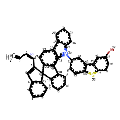 C=C/C=C\C1=Cc2ccccc2C12c1ccccc1-c1c2ccc2c3ccccc3n(-c3ccc4sc5ccc(Br)cc5c4c3)c12